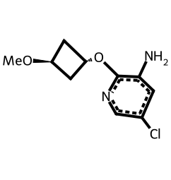 CO[C@H]1C[C@H](Oc2ncc(Cl)cc2N)C1